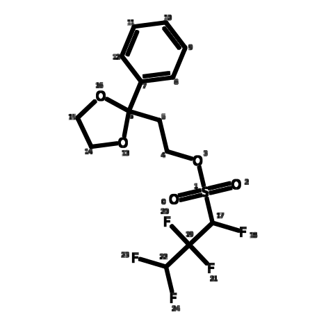 O=S(=O)(OCCC1(c2ccccc2)OCCO1)C(F)C(F)(F)C(F)F